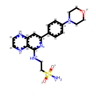 NS(=O)(=O)CCNc1nc(-c2ccc(N3CCOCC3)cc2)cc2nccnc12